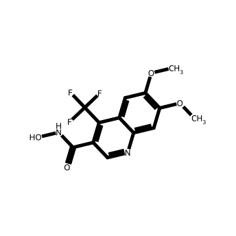 COc1cc2ncc(C(=O)NO)c(C(F)(F)F)c2cc1OC